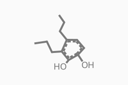 CCCc1ccc(O)c(O)c1CCC